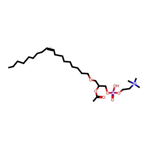 CCCCCCCC/C=C\CCCCCCCCOCC(COP(=O)(O)OCC[N+](C)(C)C)OC(C)=O